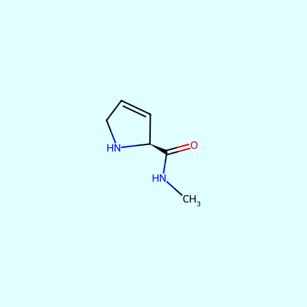 CNC(=O)[C@@H]1C=CCN1